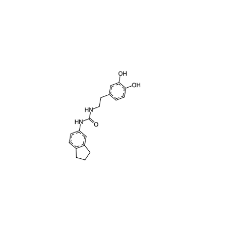 O=C(NCCc1ccc(O)c(O)c1)Nc1ccc2c(c1)CCC2